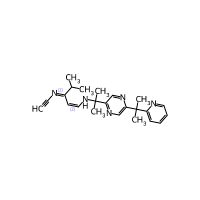 C#C/N=C(\C=C/NC(C)(C)c1cnc(C(C)(C)c2ccccn2)cn1)C(C)C